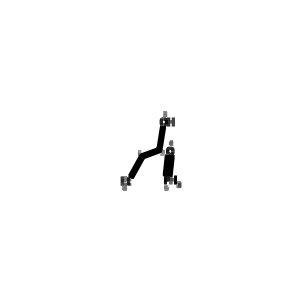 CCCCO.O=[PH3]